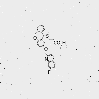 O=C(O)CCSC1c2ccccc2COc2ccc(OCc3ccc4ccc(F)cc4n3)cc21